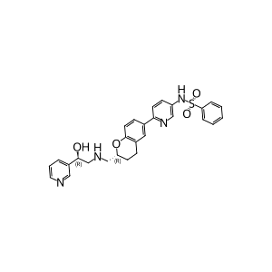 O=S(=O)(Nc1ccc(-c2ccc3c(c2)CC[C@H](CNC[C@H](O)c2cccnc2)O3)nc1)c1ccccc1